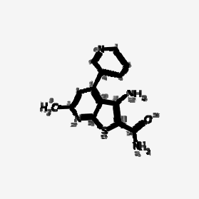 Cc1cc(-c2cccnc2)c2c(N)c(C(N)=O)sc2n1